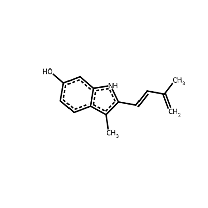 C=C(C)C=Cc1[nH]c2cc(O)ccc2c1C